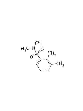 Cc1cccc(S(=O)(=O)N(C)C)c1C